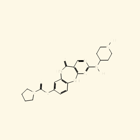 CN1CCC(N(C)c2ncc3c(n2)Nc2ccc(NC(=O)N4CCCC4)cc2NC3=O)CC1